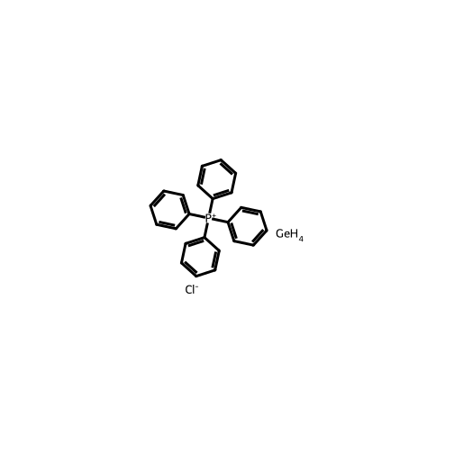 [Cl-].[GeH4].c1ccc([P+](c2ccccc2)(c2ccccc2)c2ccccc2)cc1